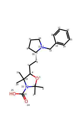 CC1(C)OC(CC[C@@H]2CCCN2Cc2ccccc2)C(C)(C)N1C(=O)O